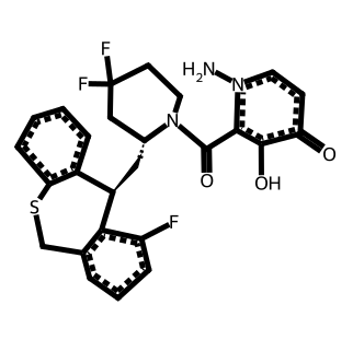 Nn1ccc(=O)c(O)c1C(=O)N1CCC(F)(F)C[C@H]1C[C@@H]1c2ccccc2SCc2cccc(F)c21